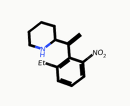 C=C(c1c(CC)cccc1[N+](=O)[O-])C1CCCCN1